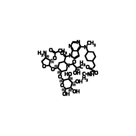 CNS(=O)(=O)CC1CCC(N(C)c2ncnc3c2ccn3C(=O)C2C[C@H](OC3OC[C@@H](N)[C@@H]3OC(C)=O)[C@H](O[C@@H]3O[C@H](O)[C@H](O)[C@@H](O)[C@@H]3O)CN2C(=O)[C@@H](C)O)CC1